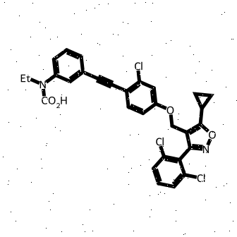 CCN(C(=O)O)c1cccc(C#Cc2ccc(OCc3c(-c4c(Cl)cccc4Cl)noc3C3CC3)cc2Cl)c1